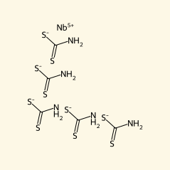 NC(=S)[S-].NC(=S)[S-].NC(=S)[S-].NC(=S)[S-].NC(=S)[S-].[Nb+5]